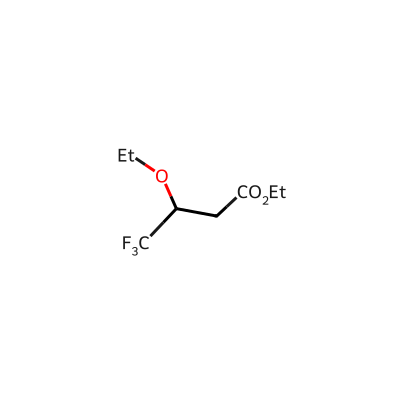 CCOC(=O)CC(OCC)C(F)(F)F